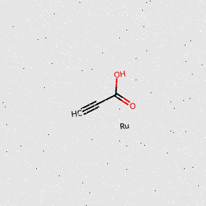 C#CC(=O)O.[Ru]